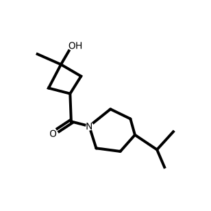 CC(C)C1CCN(C(=O)C2CC(C)(O)C2)CC1